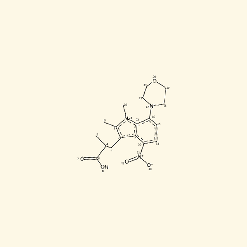 Cc1c(CC(C)C(=O)O)c2c([N+](=O)[O-])ccc(N3CCOCC3)c2n1C